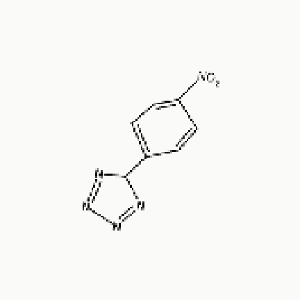 O=[N+]([O-])c1ccc(C2N=NN=N2)cc1